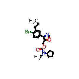 C=CCc1cc(-c2ncoc2COC(=O)N(C)C2CCCC2)ccc1Br